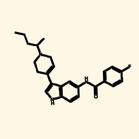 CCCC(C)N1CC=C(c2c[nH]c3ccc(NC(=O)c4ccc(F)cc4)cc23)CC1